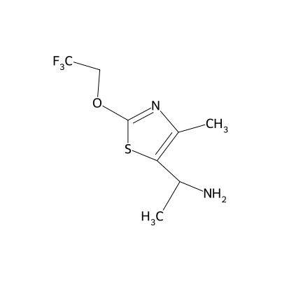 Cc1nc(OCC(F)(F)F)sc1C(C)N